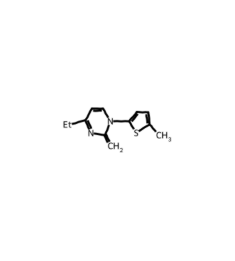 C=C1N=C(CC)C=CN1c1ccc(C)s1